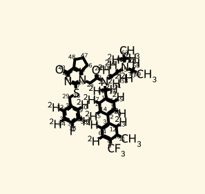 [2H]C1=C(C2=C([2H])C([2H])=C(C(F)(F)F)C(C)C2[2H])C([2H])C([2H])C(C([2H])([2H])N(C(=O)Cn2c(SCc3c([2H])c([2H])c(F)c([2H])c3[2H])nc(=O)c3c2CCC3)C([2H])([2H])C([2H])([2H])N(C([2H])([2H])C)C([2H])([2H])C)=C1[2H]